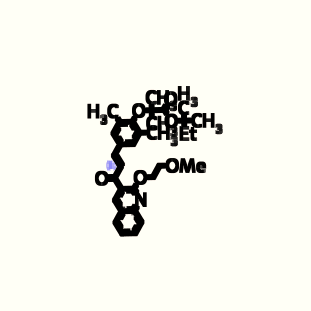 CCC(C)(C)OC(=O)C(C)(C)Oc1c(C)cc(/C=C/C(=O)c2cc3ccccc3nc2OCCOC)cc1C